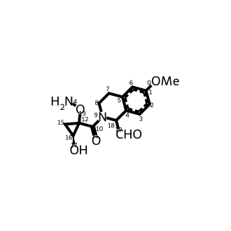 COc1ccc2c(c1)CCN(C(=O)C1(ON)C[C@@H]1O)C2C=O